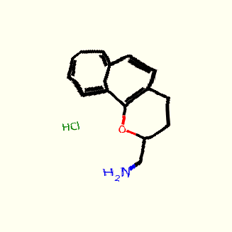 Cl.NCC1CCc2ccc3ccccc3c2O1